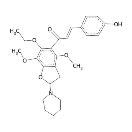 CCOc1c(OC)c2c(c(OC)c1C(=O)C=Cc1ccc(O)cc1)CC(N1CCCCC1)O2